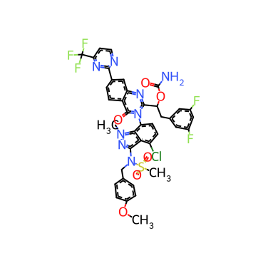 COc1ccc(CN(c2nn(C)c3c(-n4c(C(Cc5cc(F)cc(F)c5)OC(N)=O)nc5cc(-c6nccc(C(F)(F)F)n6)ccc5c4=O)ccc(Cl)c23)S(C)(=O)=O)cc1